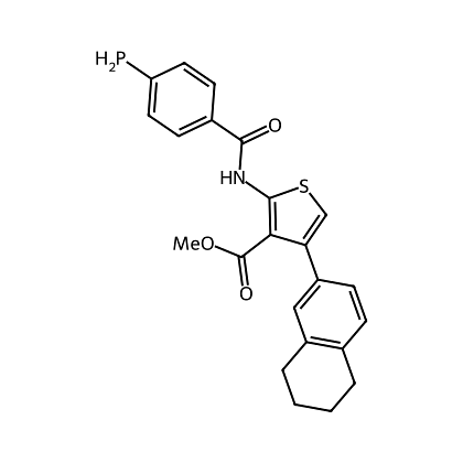 COC(=O)c1c(-c2ccc3c(c2)CCCC3)csc1NC(=O)c1ccc(P)cc1